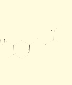 CCCCCOC(=O)COc1ccc(F)c(N)c1